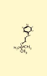 C[Si](C)(C)OCCSc1ccccc1